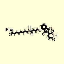 CC(C)(C)OC(=O)CCCCCCCNC(=O)CCCOc1cccc2c1C(=O)N(C1CCC(=O)NC1=O)C2=O